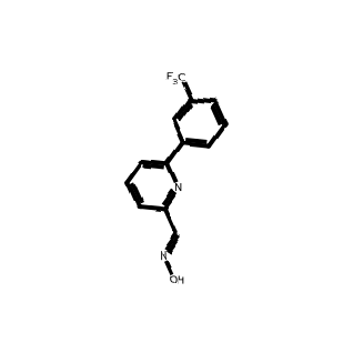 O/N=C/c1cccc(-c2cccc(C(F)(F)F)c2)n1